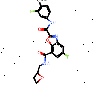 COc1ccc(NC(=O)c2nc3cc(F)cc(C(=O)NCC4CCO4)c3o2)cc1F